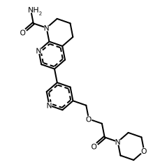 NC(=O)N1CCCc2cc(-c3cncc(COCC(=O)N4CCOCC4)c3)cnc21